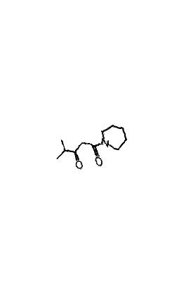 CC(C)C(=O)CC(=O)N1CCCCC1